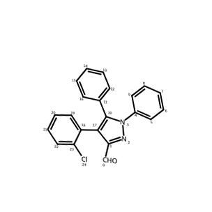 O=Cc1nn(-c2ccccc2)c(-c2ccccc2)c1-c1ccccc1Cl